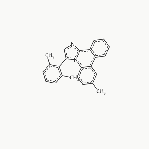 Cc1ccc2c(c1)c1ccccc1c1ncc(-c3c(C)cccc3C)n21